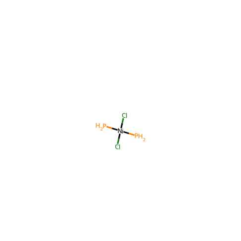 [PH2][Ni]([PH2])([Cl])[Cl]